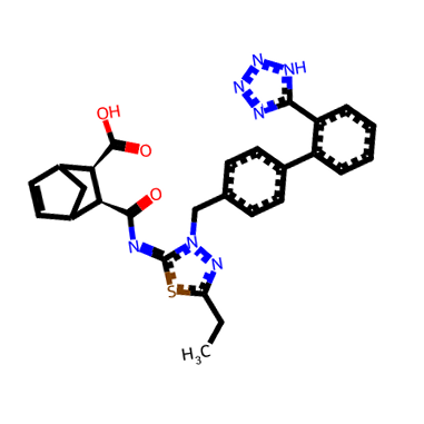 CCc1nn(Cc2ccc(-c3ccccc3-c3nnn[nH]3)cc2)c(=NC(=O)[C@H]2C3C=CC(C3)[C@H]2C(=O)O)s1